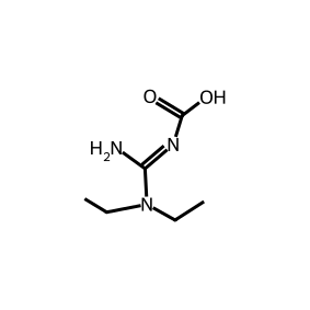 CCN(CC)C(N)=NC(=O)O